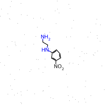 NCCNc1cccc([N+](=O)[O-])c1